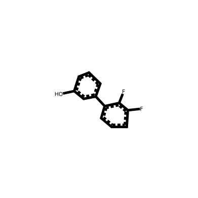 Oc1c[c]cc(-c2cccc(F)c2F)c1